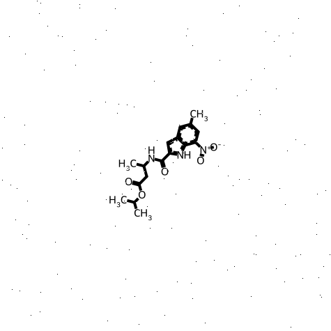 Cc1cc([N+](=O)[O-])c2[nH]c(C(=O)NC(C)CC(=O)OC(C)C)cc2c1